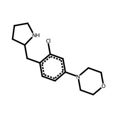 Clc1cc(N2CCOCC2)ccc1CC1CCCN1